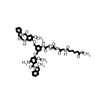 COC(=O)CCCCC(=O)NCC(=O)NCC(=O)NCC(=O)Nc1cc(COc2cc(N)c(C(=O)N3c4ccccc4C[C@H]3C)cc2OC)cc(COc2cc3c(cc2OC)C(=O)N2c4ccccc4C[C@H]2CN3)c1